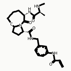 C=CC(=O)Nc1cccc(CNC(=O)[C@@H]2CCC3CCCC[C@H](NC(=O)[C@H](C)NC)C(=O)N32)c1